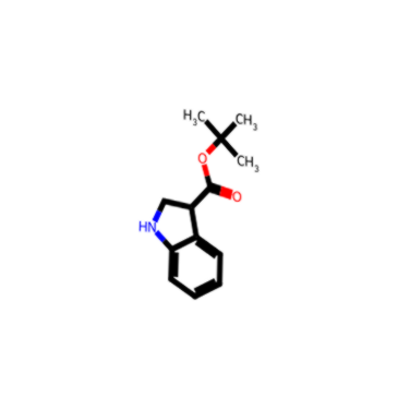 CC(C)(C)OC(=O)C1CNc2ccccc21